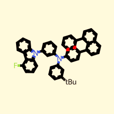 CC(C)(C)c1cccc(N(c2ccc(-c3cccc4cccc(-c5ccccc5)c34)cc2)c2cccc(-n3c4ccccc4c4c(F)cccc43)c2)c1